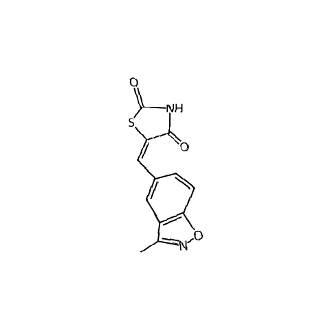 Cc1noc2ccc(C=C3SC(=O)NC3=O)cc12